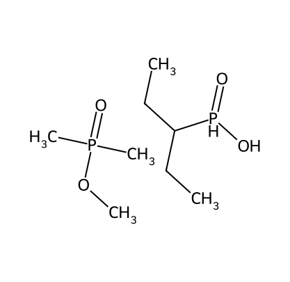 CCC(CC)[PH](=O)O.COP(C)(C)=O